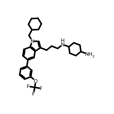 NC1CCC(NCCCc2cn(CC3CCCCC3)c3ccc(-c4cccc(OC(F)(F)F)c4)cc23)CC1